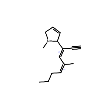 C#C/C(=C\C(C)=C/CCC)C1C=CCN1C